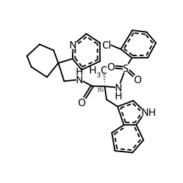 C[C@@](Cc1c[nH]c2ccccc12)(NS(=O)(=O)c1ccccc1Cl)C(=O)NCC1(c2ccccn2)CCCCC1